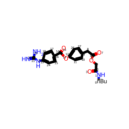 CCCCNC(=O)COC(=O)Cc1ccc(OC(=O)c2ccc(NC(=N)N)cc2)cc1